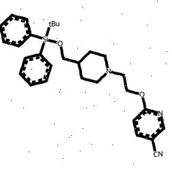 CC(C)(C)[Si](OCC1CCN(CCOc2ccc(C#N)cn2)CC1)(c1ccccc1)c1ccccc1